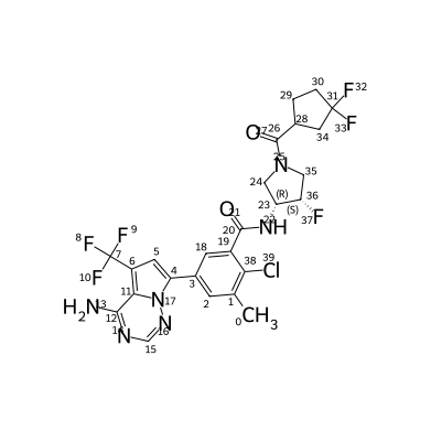 Cc1cc(-c2cc(C(F)(F)F)c3c(N)ncnn23)cc(C(=O)N[C@@H]2CN(C(=O)C3CCC(F)(F)C3)C[C@@H]2F)c1Cl